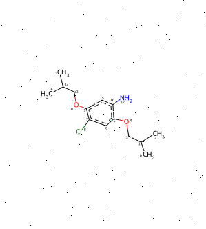 CC(C)COc1cc(Cl)c(OCC(C)C)cc1N